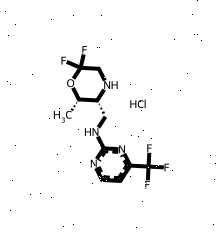 C[C@@H]1OC(F)(F)CN[C@@H]1CNc1nccc(C(F)(F)F)n1.Cl